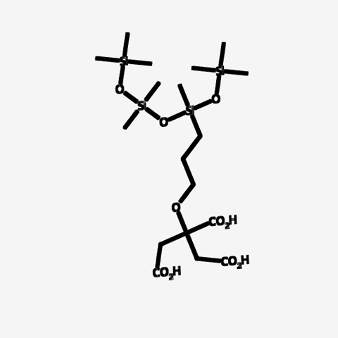 C[Si](C)(C)O[Si](C)(C)O[Si](C)(CCCOC(CC(=O)O)(CC(=O)O)C(=O)O)O[Si](C)(C)C